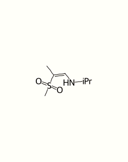 C/C(=C/NC(C)C)S(C)(=O)=O